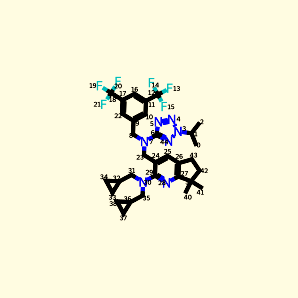 CC(C)n1nnc(N(Cc2cc(C(F)(F)F)cc(C(F)(F)F)c2)Cc2cc3c(nc2N(CC2CC2)CC2CC2)C(C)(C)CC3)n1